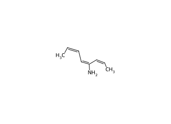 C\C=C/C=C(N)\C=C/C